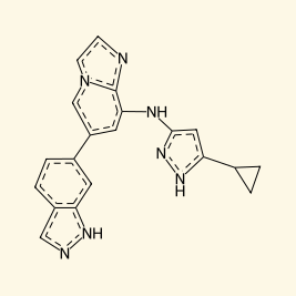 c1cn2cc(-c3ccc4cn[nH]c4c3)cc(Nc3cc(C4CC4)[nH]n3)c2n1